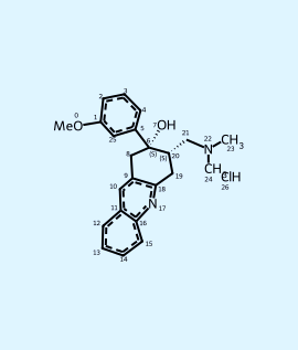 COc1cccc([C@]2(O)Cc3cc4ccccc4nc3C[C@H]2CN(C)C)c1.Cl